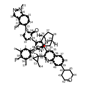 Cc1cc(-n2nc3c(c2-n2ccn(-c4ccc5c(cnn5C)c4F)c2=O)[C@@H]2CC[C@H](C3)N2C(=O)c2cc3ccc(C4CCOCC4)cc3nc2C2(C#N)CC2C)cc(C)c1F